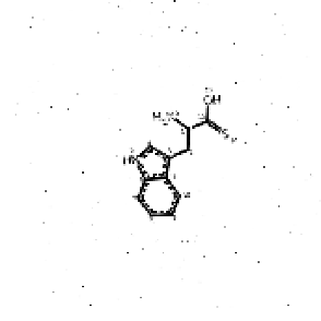 NC(Cc1c[nH]c2ccccc12)C(O)=S